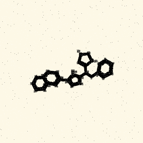 C1=C(C(Cc2ccccc2)c2ncc(-c3ccc4ccccc4c3)[nH]2)OCO1